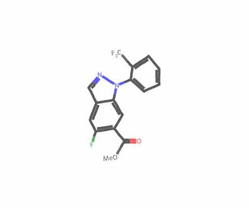 COC(=O)c1cc2c(cnn2-c2ccccc2C(F)(F)F)cc1F